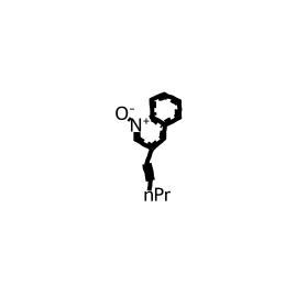 CCCC#Cc1cc2ccccc2[n+]([O-])c1